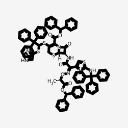 C[C@H](O/N=C(\C(=O)N[C@@H]1C(=O)N2C(C(=O)OC(c3ccccc3)c3ccccc3)=C(SC(Sc3c[nH]nn3)C(c3ccccc3)(c3ccccc3)c3ccccc3)CS[C@@H]12)c1csc(NC(c2ccccc2)(c2ccccc2)c2ccccc2)n1)C(=O)OC(c1ccccc1)c1ccccc1